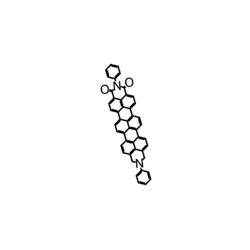 O=C1c2ccc3c4ccc5c6ccc7c8c(ccc(c9ccc(c%10ccc(c2c3%10)C(=O)N1c1ccccc1)c4c59)c86)CN(c1ccccc1)C7